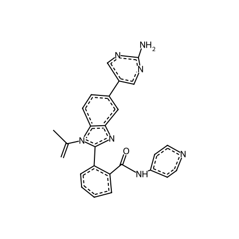 C=C(C)n1c(-c2ccccc2C(=O)Nc2ccncc2)nc2cc(-c3cnc(N)nc3)ccc21